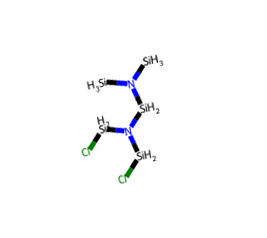 [SiH3]N([SiH3])[SiH2]N([SiH2]Cl)[SiH2]Cl